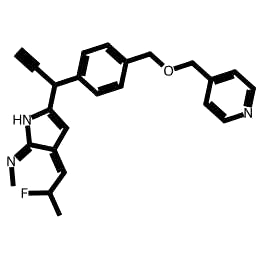 C#CC(C1=CC(=C/C(C)F)/C(=N\C)N1)c1ccc(COCc2ccncc2)cc1